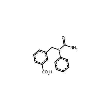 NC(=O)N(Cc1cccc(C(=O)O)c1)c1ccccc1